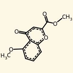 COC(=O)c1cc(=O)c2c(OC)cccc2o1